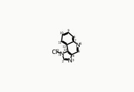 Cln1cnc2cnc3ccccc3c21